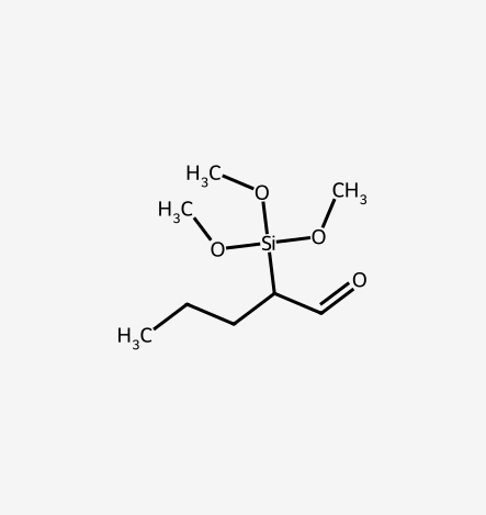 CCCC(C=O)[Si](OC)(OC)OC